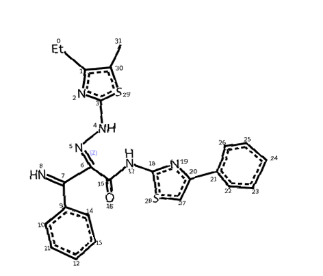 CCc1nc(N/N=C(/C(=N)c2ccccc2)C(=O)Nc2nc(-c3ccccc3)cs2)sc1C